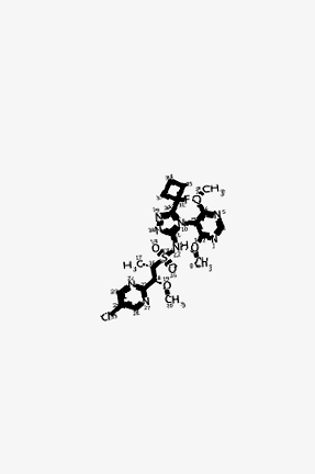 COc1ncnc(OC)c1-n1c(NS(=O)(=O)[C@@H](C)[C@H](OC)c2ncc(Cl)cn2)nnc1C1(F)CCC1